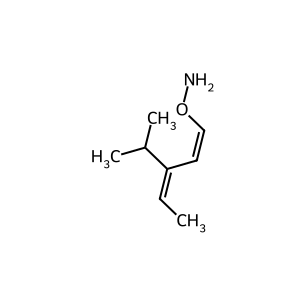 C/C=C(\C=C/ON)C(C)C